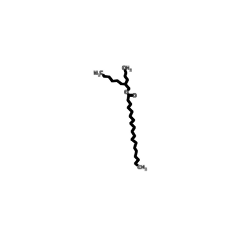 CCCCCCCCCCCCCCCCCCC(=O)OCC(CCCC)CCCCCC